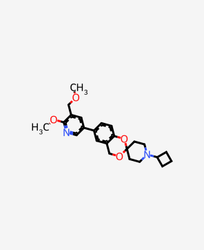 COCc1cc(-c2ccc3c(c2)COC2(CCN(C4CCC4)CC2)O3)cnc1OC